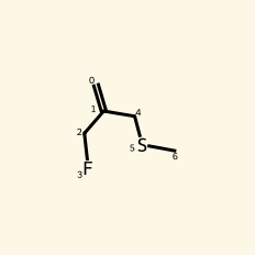 C=C(CF)CSC